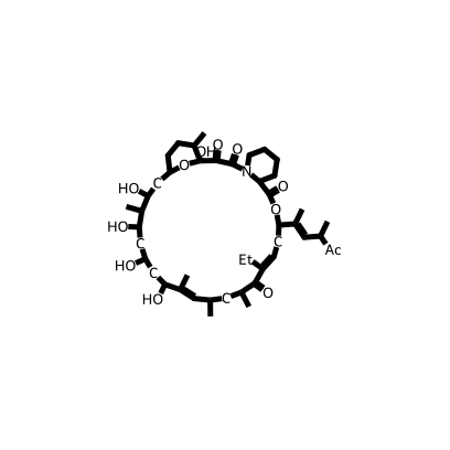 CC/C1=C\CC(/C(C)=C/C(C)C(C)=O)OC(=O)C2CCCCN2C(=O)C(=O)C2(O)OC(CCC2C)CC(O)C(C)C(O)CC(O)CC(O)/C(C)=C/C(C)CC(C)C1=O